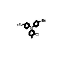 Cc1ccc(N(c2ccc(C(C)(C)C)cc2)c2ccc(C(C)(C)C)cc2)cc1Cl